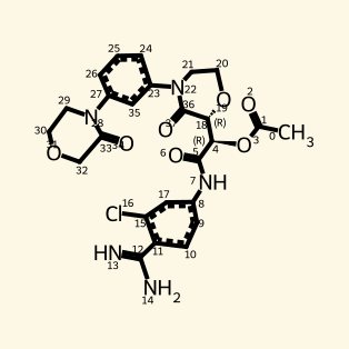 CC(=O)O[C@@H](C(=O)Nc1ccc(C(=N)N)c(Cl)c1)[C@H]1OCCN(c2cccc(N3CCOCC3=O)c2)C1=O